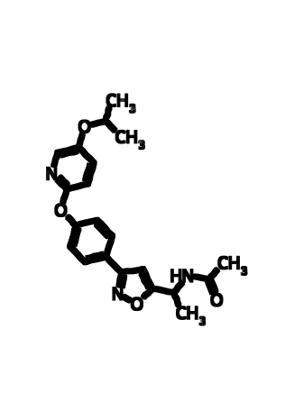 CC(=O)NC(C)c1cc(-c2ccc(Oc3ccc(OC(C)C)cn3)cc2)no1